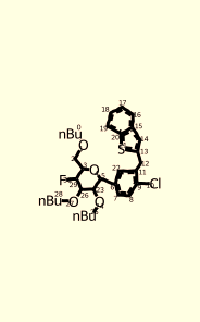 CCCCOCC1OC(c2ccc(Cl)c(Cc3cc4ccccc4s3)c2)C(OCCCC)C(OCCCC)C1F